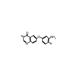 Cn1cnc2ccc(Oc3ccc(F)c(N)c3)cc2c1=O